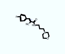 N#C/C(=C\c1ccc(F)cc1)C(=O)NCCCN1CCOCC1